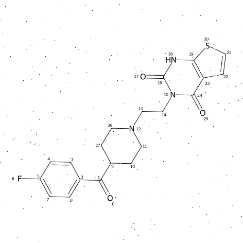 O=C(c1ccc(F)cc1)C1CCN(CCn2c(=O)[nH]c3sccc3c2=O)CC1